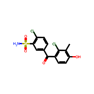 Cc1c(O)ccc(C(=O)c2ccc(Cl)c(S(N)(=O)=O)c2)c1Cl